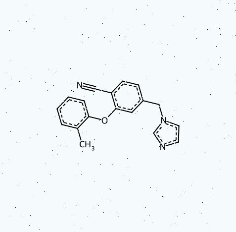 Cc1ccccc1Oc1cc(Cn2ccnc2)ccc1C#N